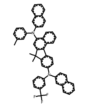 Cc1cccc(N(c2ccc3ccccc3c2)c2cc3c(c4ccccc24)-c2ccc(N(c4cccc(C(F)(F)F)c4)c4ccc5ccccc5c4)cc2C3(C)C)c1